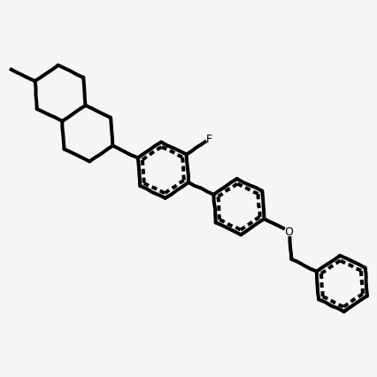 CC1CCC2CC(c3ccc(-c4ccc(OCc5ccccc5)cc4)c(F)c3)CCC2C1